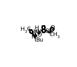 Cc1ccc(-n2nc(C(C)(C)C)cc2NC(=O)Nc2ccc(OC[C@@H](C)N3CCOCC3)c3ccccc23)cc1